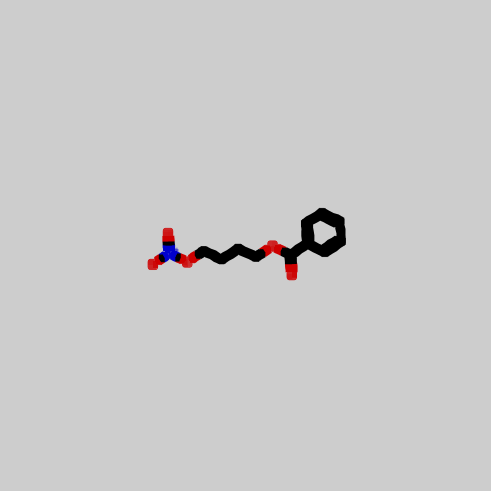 O=C(OCCCCO[N+](=O)[O-])c1ccccc1